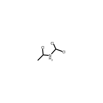 CC(Cl)[SiH2]C(Cl)Cl